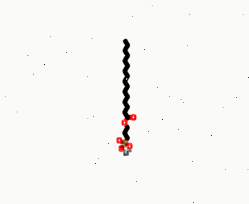 CCCCCCCCCCCCCCCC(=O)OCCCS(=O)(=O)[O-].[Li+]